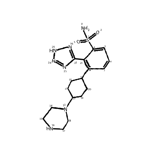 NS(=O)(=O)c1cccc(C2CCC(N3CCNCC3)CC2)c1-c1nn[nH]n1